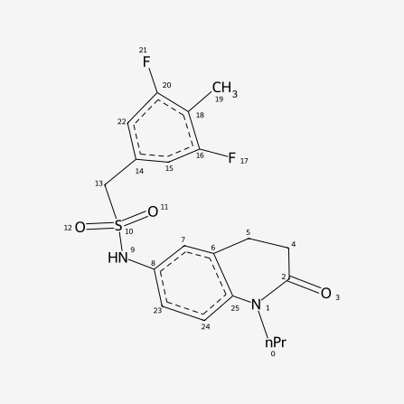 CCCN1C(=O)CCc2cc(NS(=O)(=O)Cc3cc(F)c(C)c(F)c3)ccc21